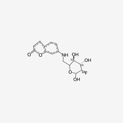 O=c1ccc2ccc(NCC3OC(O)C([18F])[C@@H](O)[C@@H]3O)cc2o1